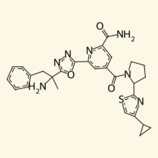 CC(N)(Cc1ccccc1)c1nnc(-c2cc(C(=O)N3CCCC3c3nc(C4CC4)cs3)cc(C(N)=O)n2)o1